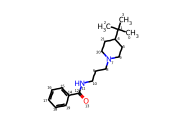 CC(C)(C)C1CCN(CCCNC(=O)c2ccccc2)CC1